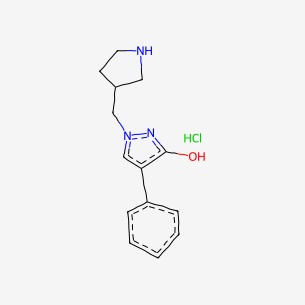 Cl.Oc1nn(CC2CCNC2)cc1-c1ccccc1